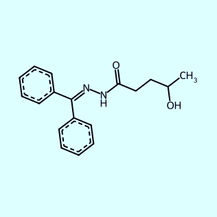 CC(O)CCC(=O)NN=C(c1ccccc1)c1ccccc1